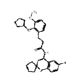 COc1cccc(CCC(=O)NC2CC3(CCCC3)Oc3ccc(Cl)cc32)c1OC1CCCC1